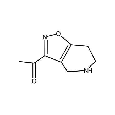 CC(=O)c1noc2c1CNCC2